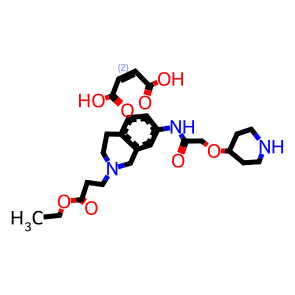 CCOC(=O)CCN1CCc2ccc(NC(=O)COC3CCNCC3)cc2C1.O=C(O)/C=C\C(=O)O